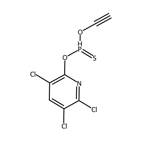 C#CO[PH](=S)Oc1nc(Cl)c(Cl)cc1Cl